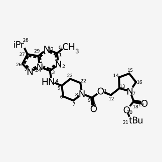 Cc1nc(NC2CCN(C(=O)OCC3CCCN3C(=O)OC(C)(C)C)CC2)n2ncc(C(C)C)c2n1